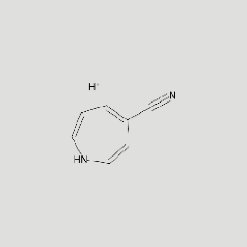 N#CC1=CC=CNC=C1.[H+]